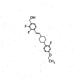 CCOc1ccc(C2CCC(/C=C/c3ccc(CO)c(F)c3F)CC2)c(F)c1